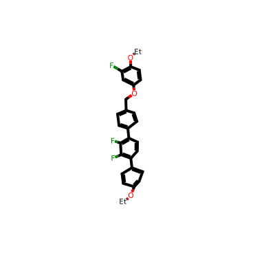 CCOc1ccc(-c2ccc(-c3ccc(COc4ccc(OCC)c(F)c4)cc3)c(F)c2F)cc1